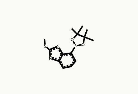 CSc1nc2cccc(B3OC(C)(C)C(C)(C)O3)c2s1